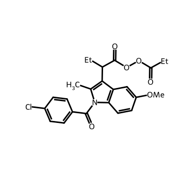 CCC(=O)OOC(=O)C(CC)c1c(C)n(C(=O)c2ccc(Cl)cc2)c2ccc(OC)cc12